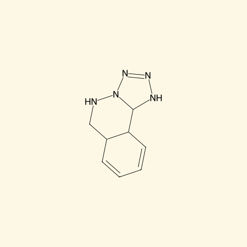 C1=CC2CNN3N=NNC3C2C=C1